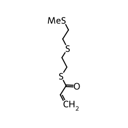 C=CC(=O)SCCSCCSC